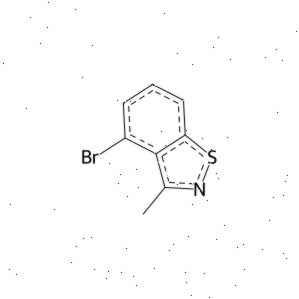 Cc1nsc2cccc(Br)c12